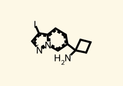 NC1(c2ccc3c(I)cnn3c2)CCC1